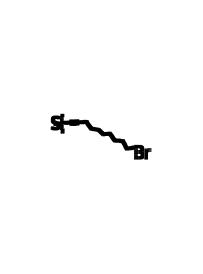 C[Si](C)(C)C#CCCCCCCCCCBr